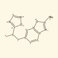 CC(Cc1ccc2nc(C(C)(C)C)oc2c1)c1ncno1